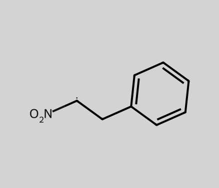 O=[N+]([O-])[CH]Cc1ccccc1